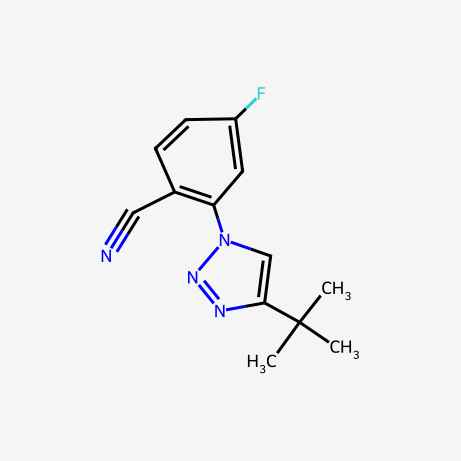 CC(C)(C)c1cn(-c2cc(F)ccc2C#N)nn1